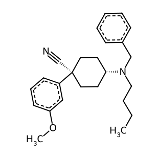 CCCCN(Cc1ccccc1)[C@H]1CC[C@](C#N)(c2cccc(OC)c2)CC1